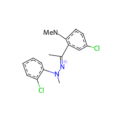 CNc1ccc(Cl)cc1/C(C)=N/N(C)c1ccccc1Cl